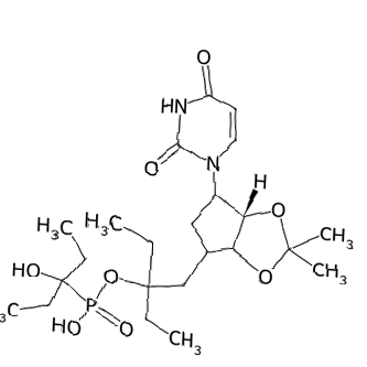 CCC(CC)(CC1CC(n2ccc(=O)[nH]c2=O)[C@@H]2OC(C)(C)OC12)OP(=O)(O)C(O)(CC)CC